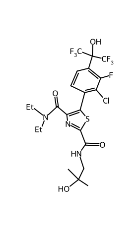 CCN(CC)C(=O)c1nc(C(=O)NCC(C)(C)O)sc1-c1ccc(C(O)(C(F)(F)F)C(F)(F)F)c(F)c1Cl